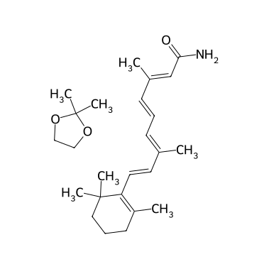 CC(C=CC1=C(C)CCCC1(C)C)=CC=CC(C)=CC(N)=O.CC1(C)OCCO1